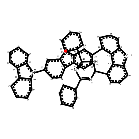 c1ccc(C2=NC(c3cccc4sc5cccc(-c6ccc7c(c6)sc6cc(-n8c9ccccc9c9ccccc98)ccc67)c5c34)NC(c3ccccc3)=N2)cc1